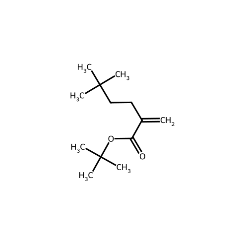 C=C(CCC(C)(C)C)C(=O)OC(C)(C)C